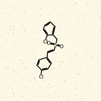 O=S(=O)(C=Cc1ccc(Cl)cc1)Cc1ccccc1Cl